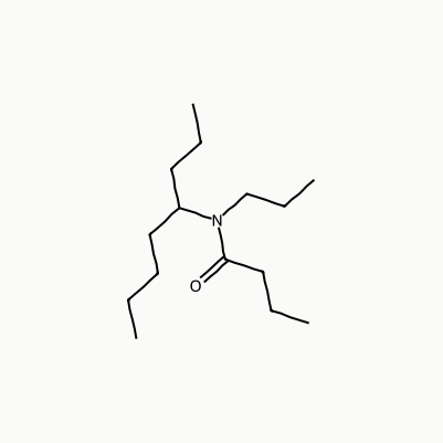 CCCCC(CCC)N(CCC)C(=O)CCC